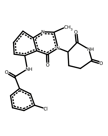 Cc1nc2cccc(NC(=O)c3cccc(Cl)c3)c2c(=O)n1C1CCC(=O)NC1=O